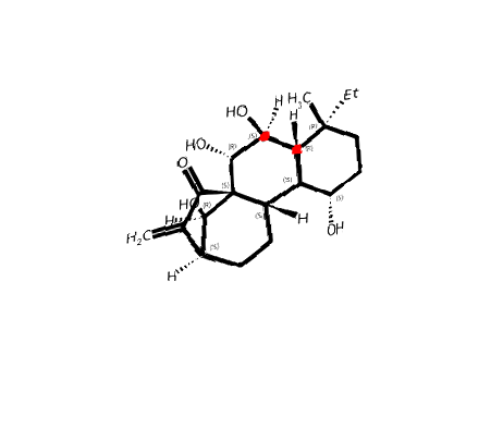 C=C1C(=O)[C@]23[C@H](O)[C@H]1CC[C@H]2[C@@]12CO[C@@]3(O)[C@@H](O)[C@@H]1[C@](C)(CC)CC[C@@H]2O